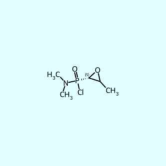 CC1O[C@H]1P(=O)(Cl)N(C)C